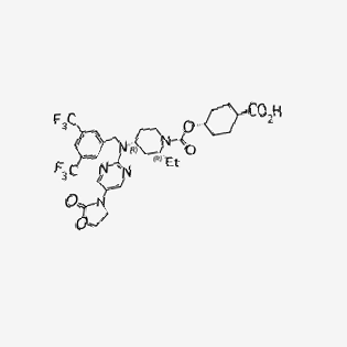 CC[C@@H]1C[C@H](N(Cc2cc(C(F)(F)F)cc(C(F)(F)F)c2)c2ncc(N3CCOC3=O)cn2)CCN1C(=O)O[C@H]1CC[C@H](C(=O)O)CC1